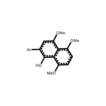 COc1ccc(OC)c2c(O)c(C(C)=O)cc(OC)c12